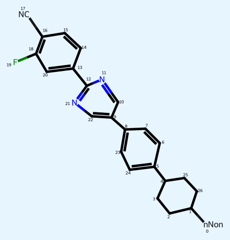 CCCCCCCCCC1CCC(c2ccc(-c3cnc(-c4ccc(C#N)c(F)c4)nc3)cc2)CC1